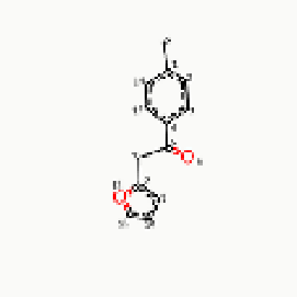 Cc1ccc(C(=O)Cc2ccco2)cc1